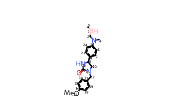 CBCN(C)c1ccc(C2CN(Cc3ccc(OC)cc3)C(=O)N2)cc1